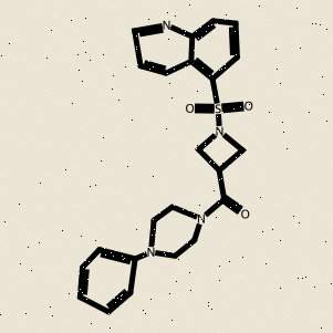 O=C(C1CN(S(=O)(=O)c2cccc3ncccc23)C1)N1CCN(c2ccccc2)CC1